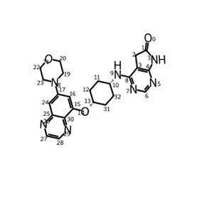 O=C1Cc2c(ncnc2N[C@H]2CC[C@@H](Oc3cc(N4CCOCC4)cc4nccnc34)CC2)N1